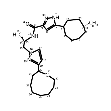 C[C@@H]1CCCCC(c2cc(C(=O)N[C@H](C)Cn3ccc(C4CCCCCCCC4)n3)n[nH]2)CC1